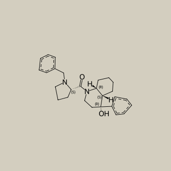 O=C([C@@H]1CCCN1Cc1ccccc1)N1CC[C@](O)(c2ccccc2)[C@H]2CCCC[C@H]21